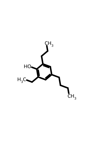 CCCCc1cc(CC)c(O)c(CCC)c1